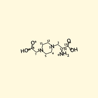 N[C@@H](CN1CCN(CC(=O)O)CC1)C(=O)O